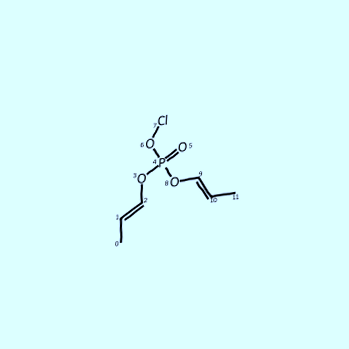 CC=COP(=O)(OCl)OC=CC